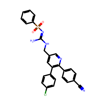 N#Cc1ccc(-c2ncc(CN/C(N)=N/S(=O)(=O)c3ccccc3)cc2-c2ccc(Cl)cc2)cc1